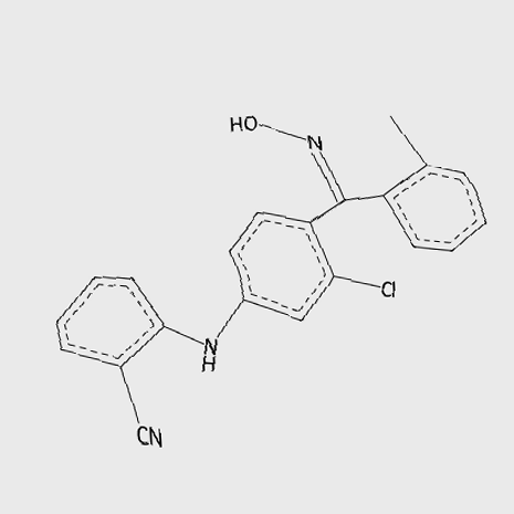 Cc1ccccc1C(=NO)c1ccc(Nc2ccccc2C#N)cc1Cl